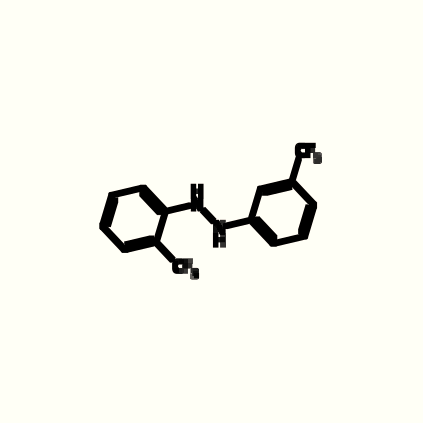 FC(F)(F)c1cccc(NNc2ccccc2C(F)(F)F)c1